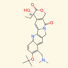 CC[C@@]1(O)C(=O)OCc2c1cc1n(c2=O)Cc2cc3c(CN(C)C)c(OC(C)(C)C)ccc3nc2-1